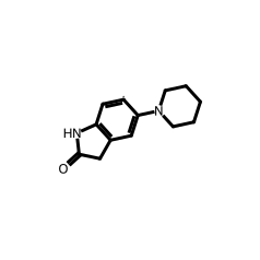 O=C1Cc2cc(N3CCCCC3)[c]cc2N1